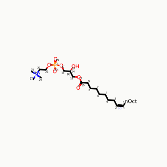 CCCCCCCC/C=C\CCCCCCCC(=O)OC[C@H](O)COP(=O)([O-])OCC[N+](C)(C)C